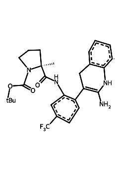 CC(C)(C)OC(=O)N1CCC[C@@]1(C)C(=O)Nc1cc(C(F)(F)F)ccc1C1=C(N)Nc2[c]cccc2C1